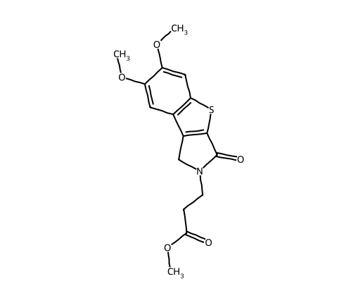 COC(=O)CCN1Cc2c(sc3cc(OC)c(OC)cc23)C1=O